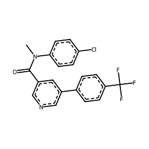 CN(C(=O)c1cncc(-c2ccc(C(F)(F)F)cc2)c1)c1ccc(Cl)cc1